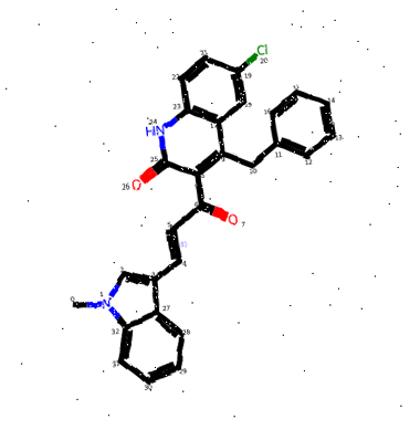 Cn1cc(/C=C/C(=O)c2c(Cc3ccccc3)c3cc(Cl)ccc3[nH]c2=O)c2ccccc21